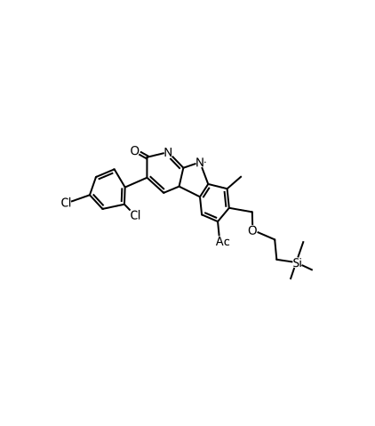 CC(=O)c1cc2c(c(C)c1COCC[Si](C)(C)C)[N]C1=NC(=O)C(c3ccc(Cl)cc3Cl)=CC12